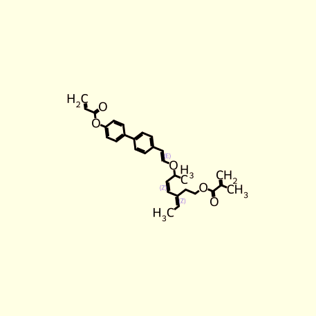 C=CC(=O)Oc1ccc(-c2ccc(/C=C/OC(C)/C=C\C(=C/C)CCOC(=O)C(=C)C)cc2)cc1